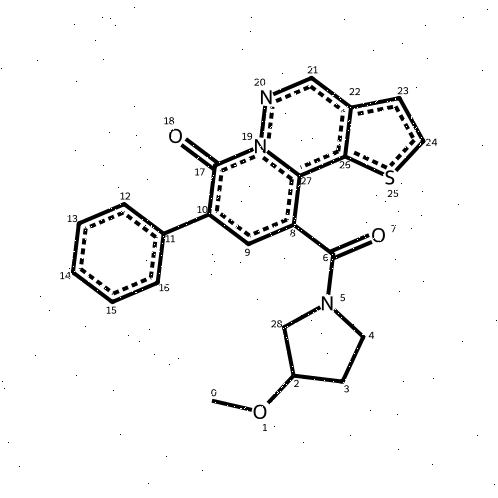 COC1CCN(C(=O)c2cc(-c3ccccc3)c(=O)n3ncc4ccsc4c23)C1